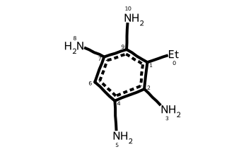 CCc1c(N)c(N)cc(N)c1N